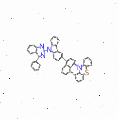 c1ccc(-c2nc(-n3c4ccccc4c4cc(-c5ccc6c7c5cccc7c5cccc7sc8ccccc8n6-c75)ccc43)nc3ccccc23)cc1